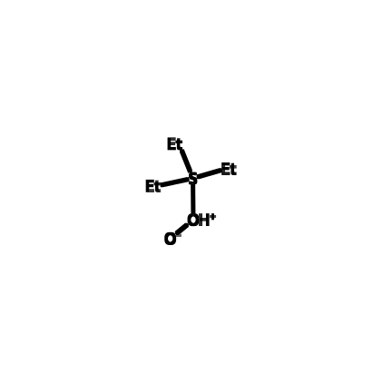 CCS(CC)(CC)[OH+][O-]